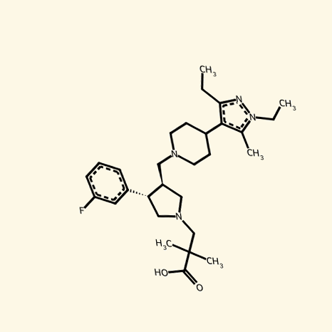 CCc1nn(CC)c(C)c1C1CCN(C[C@H]2CN(CC(C)(C)C(=O)O)C[C@@H]2c2cccc(F)c2)CC1